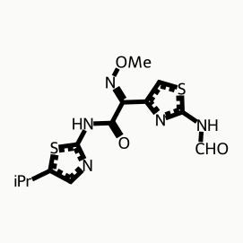 CON=C(C(=O)Nc1ncc(C(C)C)s1)c1csc(NC=O)n1